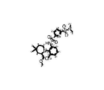 COCC1CC(C)(C)CCN1c1c(Cl)cccc1NS(=O)(=O)c1ccc(S(=O)(=O)N(C)C)s1